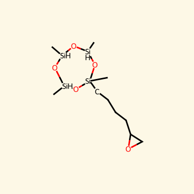 C[SiH]1O[SiH](C)O[Si](C)(CCCCC2CO2)O[SiH](C)O1